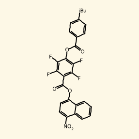 CCC(C)c1ccc(C(=O)Oc2c(F)c(F)c(C(=O)Oc3ccc([N+](=O)[O-])c4ccccc34)c(F)c2F)cc1